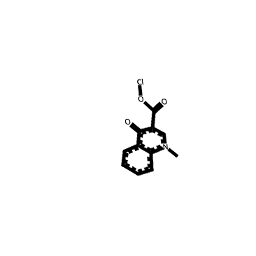 Cn1cc(C(=O)OCl)c(=O)c2ccccc21